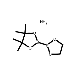 CC1(C)OB(B2OCCO2)OC1(C)C.N